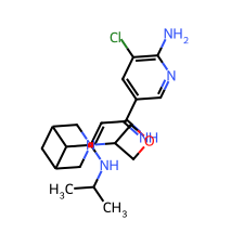 CC(C)N/C(=C\C(=N)c1cnc(N)c(Cl)c1)C1C2CC1CN(C1COC1)C2